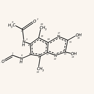 CC(=O)Nc1c(NC=O)c(C)c2nc(O)c(O)nc2c1C